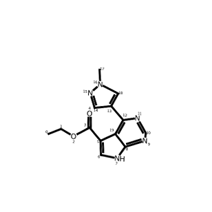 CCOC(=O)c1c[nH]c2ncnc(-c3cnn(C)c3)c12